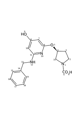 O=C(O)N1CC[C@H](Oc2cc(O)cc(NCc3ccccc3)n2)C1